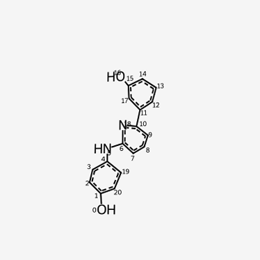 Oc1ccc(Nc2cccc(-c3cccc(O)c3)n2)cc1